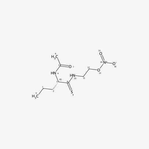 CCC[C@H](NC(C)=O)C(=S)NCCO[N+](=O)[O-]